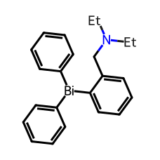 CCN(CC)Cc1cccc[c]1[Bi]([c]1ccccc1)[c]1ccccc1